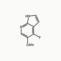 COc1cnc2[nH]ccc2c1F